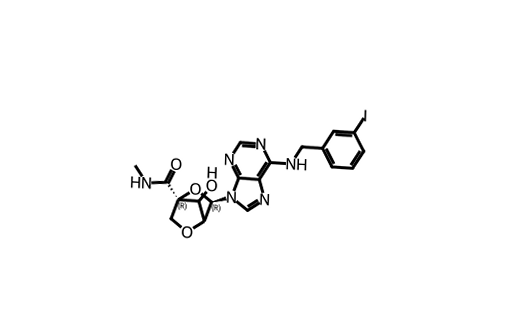 CNC(=O)[C@@]12COC(C1O)[C@H](n1cnc3c(NCc4cccc(I)c4)ncnc31)O2